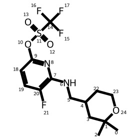 CC1(C)CC(CNc2nc(OS(=O)(=O)C(F)(F)F)ccc2F)CCO1